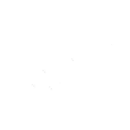 Cc1cc2nc(-c3cnc(NC(C)C)n(C)c3=O)ccc2cc1O